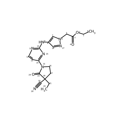 CCOC(=O)Cn1cc(Nc2nccc(N3CCC(C#N)(CC)C3=O)n2)cn1